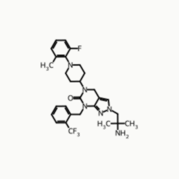 Cc1cccc(F)c1N1CCC(N2Cc3cn(CC(C)(C)N)nc3N(Cc3ccccc3C(F)(F)F)C2=O)CC1